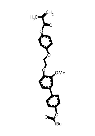 C=C(C)C(=O)Oc1ccc(OCCOc2ccc(-c3ccc(OC(=O)C(C)(C)C)cc3)cc2OC)cc1